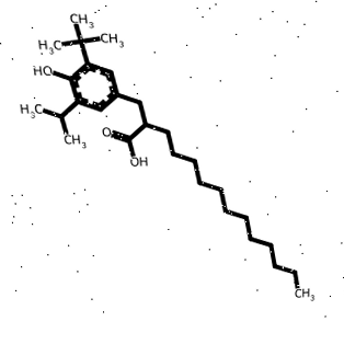 CCCCCCCCCCCCC(Cc1cc(C(C)C)c(O)c(C(C)(C)C)c1)C(=O)O